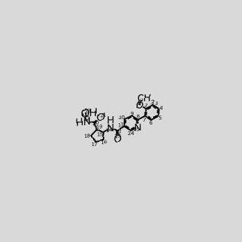 COc1ccccc1-c1ccc(C(=O)NC2CCCC2C(=O)NO)cn1